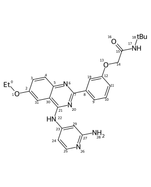 CCOc1ccc2nc(-c3cccc(OCC(=O)NC(C)(C)C)c3)nc(Nc3ccnc(N)c3)c2c1